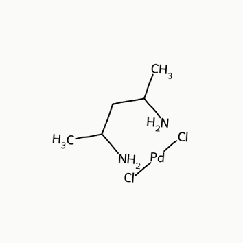 CC(N)CC(C)N.[Cl][Pd][Cl]